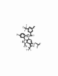 [2H]C([2H])([2H])c1nn(CC(F)F)c2cc(NC(=O)c3cc(F)cc(C(F)(F)F)c3)c3c(c12)C(=O)NC3c1cc(F)ccc1Cl